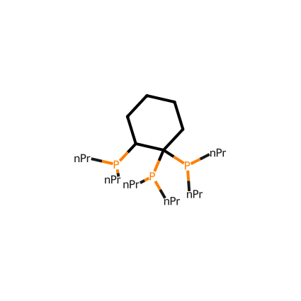 CCCP(CCC)C1CCCCC1(P(CCC)CCC)P(CCC)CCC